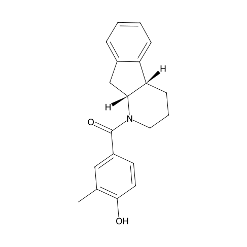 Cc1cc(C(=O)N2CCC[C@H]3c4ccccc4C[C@H]32)ccc1O